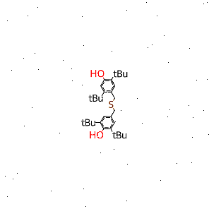 CC(C)(C)c1cc(CSCc2cc(C(C)(C)C)c(O)c(C(C)(C)C)c2)c(C(C)(C)C)cc1O